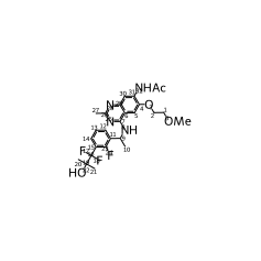 COCCOc1cc2c(NC(C)c3cccc(C(F)(F)C(C)(C)O)c3F)nc(C)nc2cc1NC(C)=O